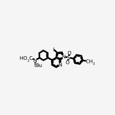 Cc1ccc(S(=O)(=O)n2cc(I)c3c(C4=CCCC(N(C(=O)O)C(C)(C)C)C4)ccnc32)cc1